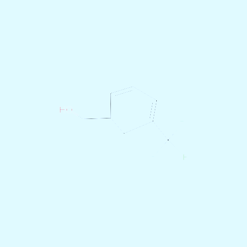 OCC1[C]=CC=C(C(F)(F)F)C1